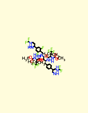 COC(=O)NC(C(=O)N[C@@H](Cc1ccc(/C(C=N)=C/NC(F)F)cc1)[C@@H](O)CN(Cc1c(F)cc(C(=N)/C=C\NC(F)F)cc1F)NC(=O)[C@@H](NC(=O)OC)C(C)(C)C(F)(F)F)C(C)(C)C(F)(F)F